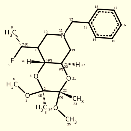 CO[C@@]1(C)O[C@@H]2C([C@@H](C)F)CN(Cc3ccccc3)C[C@H]2O[C@]1(C)OC